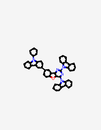 c1ccc(-n2c3ccccc3c3cc(-c4ccc5oc6c(-n7c8ccccc8c8ccccc87)nc(-n7c8ccccc8c8ccccc87)nc6c5c4)ccc32)cc1